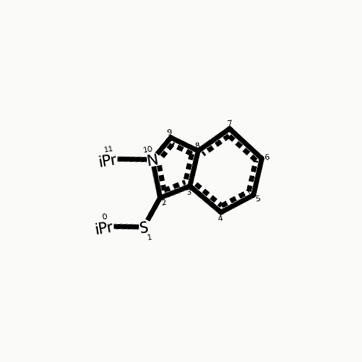 CC(C)Sc1c2ccccc2cn1C(C)C